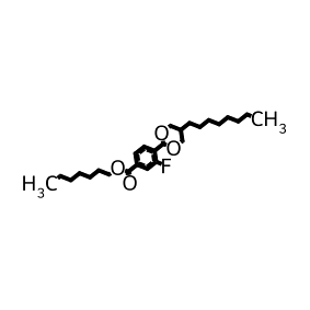 CCCCCCCCC1COC(c2ccc(C(=O)OCCCCCCC)cc2F)OC1